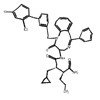 CCC[C@H](C(N)=O)[C@@H](CC1CC1)C(=O)NC1N=C(c2ccccc2)c2ccccc2N(Cc2cccc(-c3ccc(Cl)cc3Cl)c2)C1=O